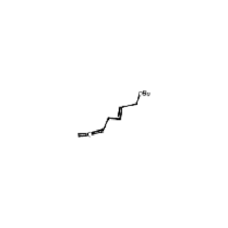 C=C=CCC=CCCCCC